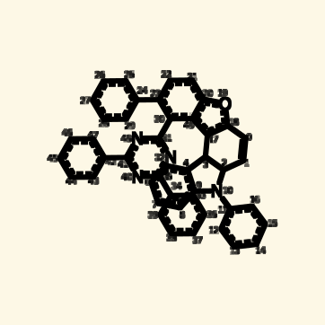 C1=CC2C(c3ccccc3N2c2ccccc2)c2c1oc1ccc(-c3ccccc3)c(-c3nc(-c4ccccc4)nc(-c4ccccc4)n3)c21